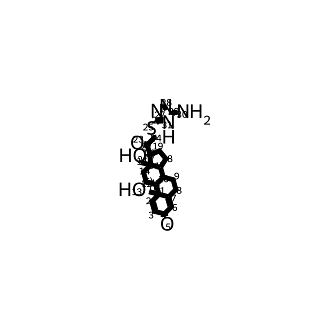 CC12C=CC(=O)C=C1CCC1C2[C@@H](O)CC2(C)C1CC[C@]2(O)C(=O)CSc1nnc(N)[nH]1